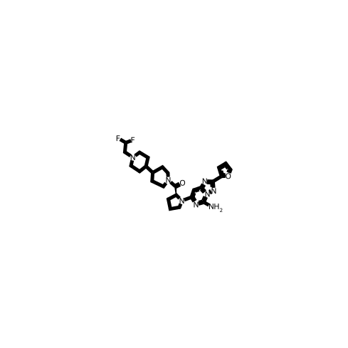 Nc1nc(N2CCC[C@H]2C(=O)N2CCC(C3CCN(CC(F)F)CC3)CC2)cc2nc(-c3ccco3)nn12